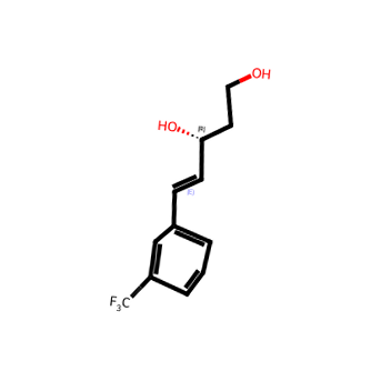 OCC[C@@H](O)/C=C/c1cccc(C(F)(F)F)c1